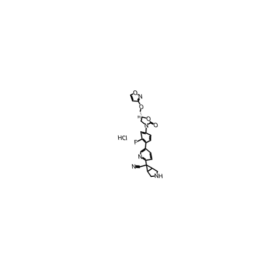 Cl.N#CC1(c2ccc(-c3ccc(N4C[C@H](COc5ccon5)OC4=O)cc3F)cn2)C2CNCC21